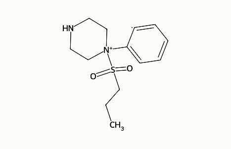 CCCS(=O)(=O)[N+]1(c2[c]cccc2)CCNCC1